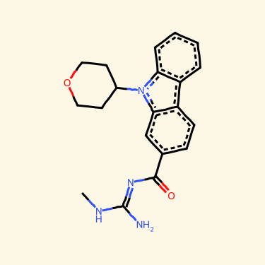 CN/C(N)=N/C(=O)c1ccc2c3ccccc3n(C3CCOCC3)c2c1